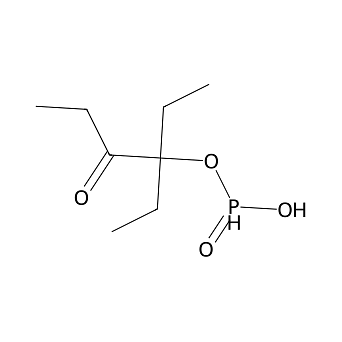 CCC(=O)C(CC)(CC)O[PH](=O)O